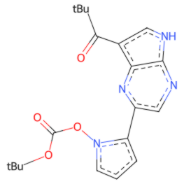 CC(C)(C)OC(=O)On1cccc1-c1cnc2[nH]cc(C(=O)C(C)(C)C)c2n1